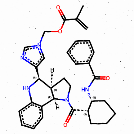 C=C(C)C(=O)OCn1cnc([C@@H]2Nc3ccccc3[C@H]3[C@@H]2CCN3C(=O)[C@H]2CCCC[C@H]2NC(=O)c2ccccc2)c1